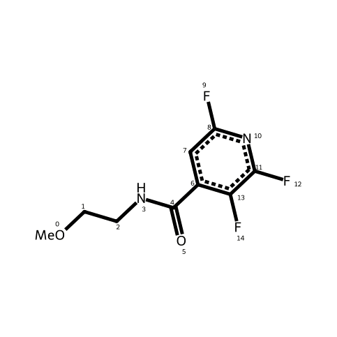 COCCNC(=O)c1cc(F)nc(F)c1F